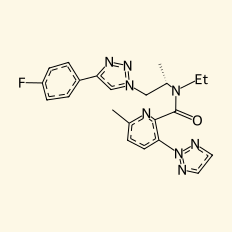 CCN(C(=O)c1nc(C)ccc1-n1nccn1)[C@@H](C)Cn1cc(-c2ccc(F)cc2)nn1